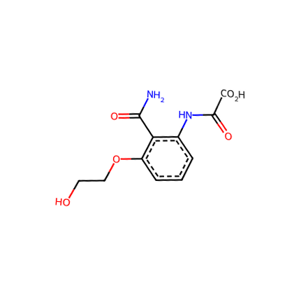 NC(=O)c1c(NC(=O)C(=O)O)cccc1OCCO